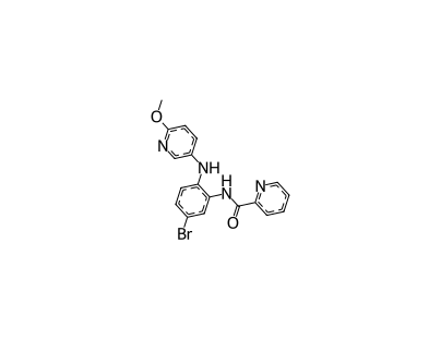 COc1ccc(Nc2ccc(Br)cc2NC(=O)c2ccccn2)cn1